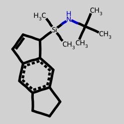 CC(C)(C)N[Si](C)(C)C1C=Cc2cc3c(cc21)CCC3